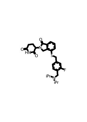 CC(C)N(Cc1ccc(CSc2cccc3c2CN(C2CCC(=O)NC2=O)C3=O)cc1F)C(C)C